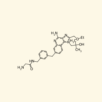 CCOCc1nc2c(N)nc3cc(Cc4cccc(CNC(=O)CN)c4)ccc3c2n1CC(C)(C)O